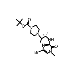 CC([C@H](C)Nc1nc(Br)cn(C)c1=O)N1CCN(C(=O)OC(C)(C)C)CC1